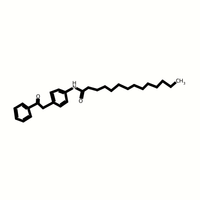 CCCCCCCCCCCCCC(=O)Nc1ccc(CC(=O)c2ccccc2)cc1